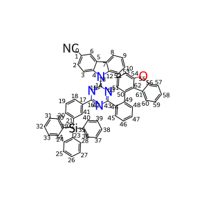 N#Cc1ccc2c(c1)c1ccccc1n2-c1nc(-c2cccc([Si](c3ccccc3)(c3ccccc3)c3ccccc3)c2)nc(-c2ccccc2-c2cccc3oc4ccccc4c23)n1